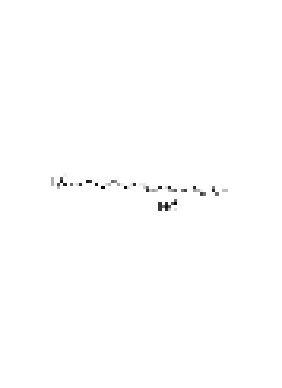 CC=CC(O)=CC=CCCCCCC